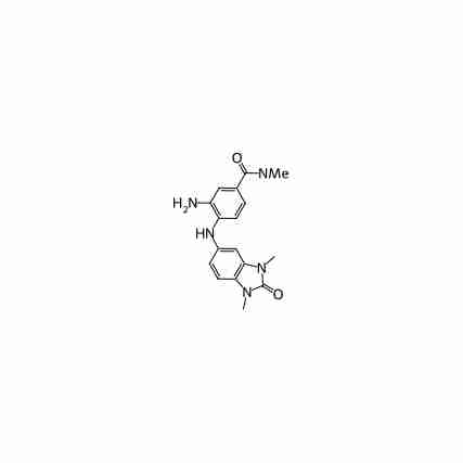 CNC(=O)c1ccc(Nc2ccc3c(c2)n(C)c(=O)n3C)c(N)c1